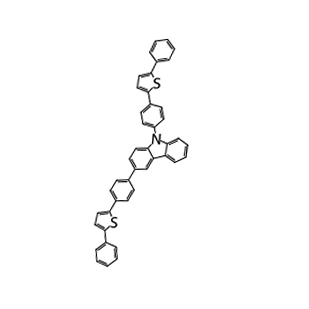 c1ccc(-c2ccc(-c3ccc(-c4ccc5c(c4)c4ccccc4n5-c4ccc(-c5ccc(-c6ccccc6)s5)cc4)cc3)s2)cc1